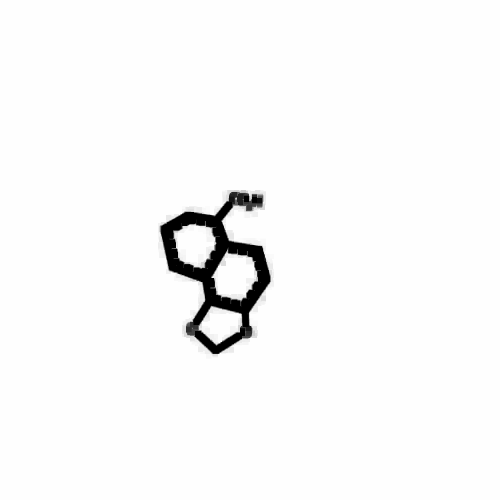 O=C(O)c1cccc2c3c(ccc12)OCO3